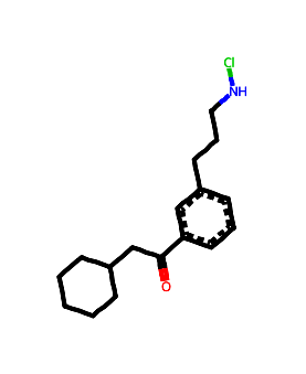 O=C(CC1CCCCC1)c1cccc(CCCNCl)c1